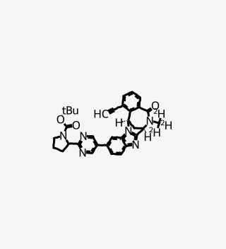 [2H]C([2H])([2H])N1C(=O)c2cccc(C#C)c2[C@H]2C[C@@H]1c1nc3ccc(-c4cnc(C5CCCN5C(=O)OC(C)(C)C)nc4)cc3n12